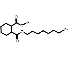 CC(C)CCCCCCCOC(=O)C1CCCCC1C(=O)OC(C)C